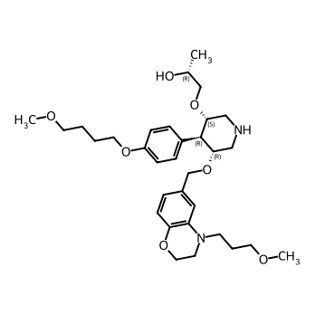 COCCCCOc1ccc([C@@H]2[C@@H](OCc3ccc4c(c3)N(CCCOC)CCO4)CNC[C@H]2OC[C@@H](C)O)cc1